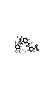 Cc1ccc(NS(=O)(=O)c2cc(C(=O)Nc3cccc([N+](=O)[O-])c3)ccc2C)cc1C